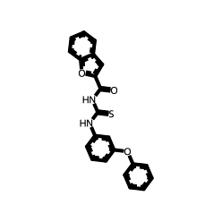 O=C(NC(=S)Nc1cccc(Oc2ccccc2)c1)c1cc2ccccc2o1